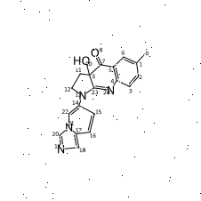 Cc1ccc2c(c1)C(=O)C1(O)CCN(c3ccc4cncn4c3)C1=N2